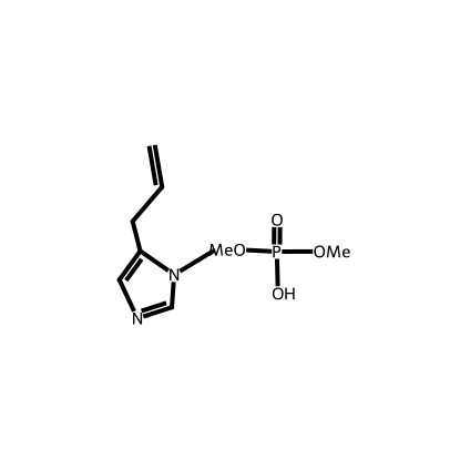 C=CCc1cncn1C.COP(=O)(O)OC